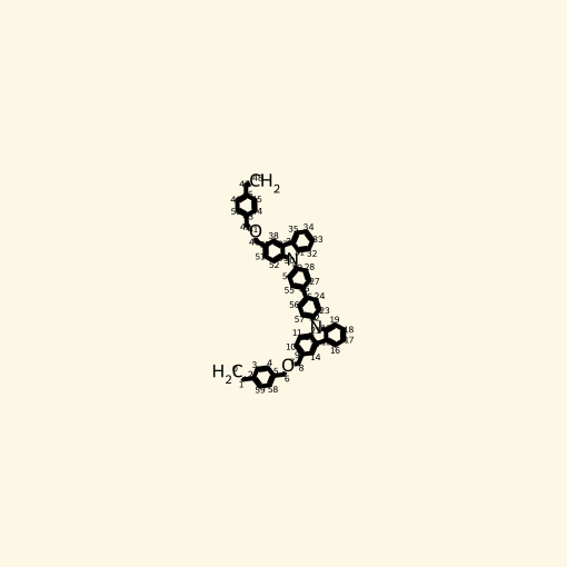 C=Cc1ccc(COCc2ccc3c(c2)c2ccccc2n3-c2ccc(-c3ccc(-n4c5ccccc5c5cc(COCc6ccc(C=C)cc6)ccc54)cc3)cc2)cc1